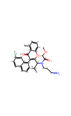 COCC(=O)N(CCCN)C(c1oc2cccc(C)c2c(=O)c1-c1cccc2ccc(Cl)cc12)C(C)C